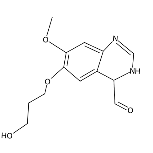 COc1cc2c(cc1OCCCO)C(C=O)NC=N2